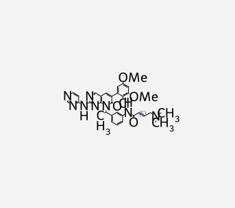 COc1cc(OC)c(Cl)c(-c2cc3cnc(Nc4ccncn4)nc3n(C(C)c3cccc(NC(=O)/C=C/CN(C)C)c3)c2=O)c1